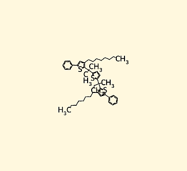 CCCCCCCCc1cc(-c2ccccc2)sc1C(C)(C)c1ccc(C(C)(CC)c2sc(-c3ccccc3)cc2CCCCCCCC)s1